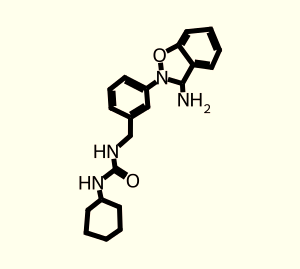 NC1c2ccccc2ON1c1cccc(CNC(=O)NC2CCCCC2)c1